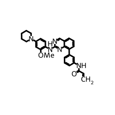 C=CC(=O)Nc1cccc(-c2cccc3cnc(Nc4ccc(N5CCCCC5)cc4OC)nc23)c1